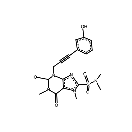 CN1C(=O)c2c(nc(S(=O)(=O)N(C)C)n2C)N(CC#Cc2cccc(O)c2)C1O